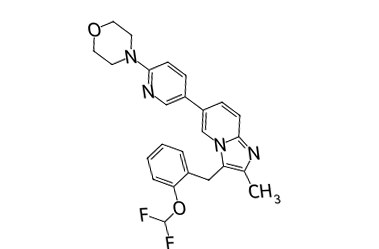 Cc1nc2ccc(-c3ccc(N4CCOCC4)nc3)cn2c1Cc1ccccc1OC(F)F